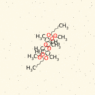 CCCCCCC(Oc1cc2c(cc1C)OC1(CC2(C)C)CC(C)(C)c2cc(OC(CCCCCC)C(=O)OCC)c(C)cc2O1)C(=O)OCC